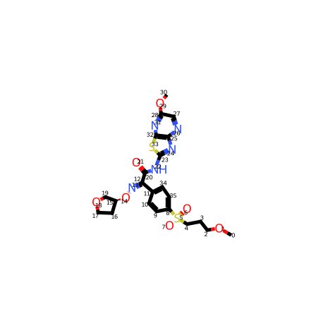 COCCCS(=O)(=O)c1ccc(/C(=N\O[C@@H]2CCOC2)C(=O)Nc2nc3ncc(OC)nc3s2)cc1